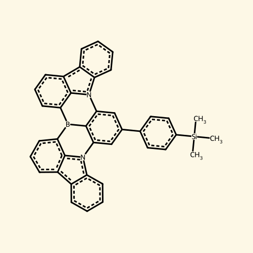 C[Si](C)(C)c1ccc(-c2cc3c4c(c2)-n2c5ccccc5c5cccc(c52)B4c2cccc4c5ccccc5n-3c24)cc1